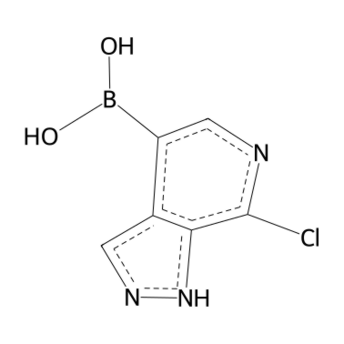 OB(O)c1cnc(Cl)c2[nH]ncc12